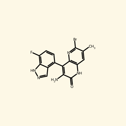 Cc1cc2[nH]c(=O)c(N)c(-c3ccc(F)c4[nH]ncc34)c2nc1Br